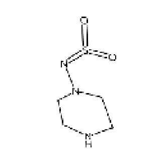 O=S(=O)=NN1CCNCC1